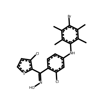 Cc1c(C)c(Nc2ccc(/C(=N/O)c3sccc3Cl)c(Cl)c2)c(C)c(C)c1Br